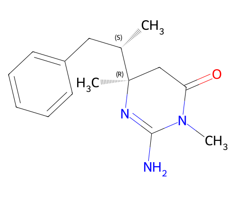 C[C@@H](Cc1ccccc1)[C@@]1(C)CC(=O)N(C)C(N)=N1